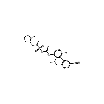 CC(C)c1c(NC(=O)NS(=O)(=O)N(C)CC2CCCN2C)ccc(F)c1-c1ccnc(C#N)c1